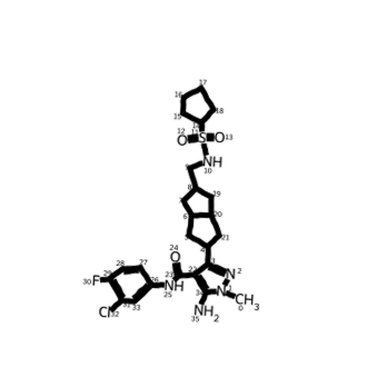 Cn1nc(C2CC3CC(CNS(=O)(=O)C4CCCC4)CC3C2)c(C(=O)Nc2ccc(F)c(Cl)c2)c1N